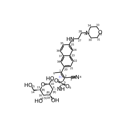 C/C(=C(/C#N)S(=O)(=O)N[C@H]1C(O)O[C@H](CO)[C@@H](O)[C@@H]1O)c1ccc2cc(NCCN3CCOCC3)ccc2c1